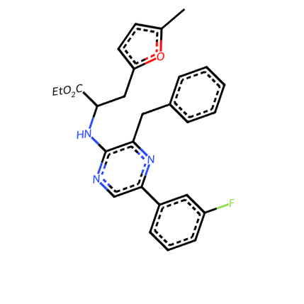 CCOC(=O)C(Cc1ccc(C)o1)Nc1ncc(-c2cccc(F)c2)nc1Cc1ccccc1